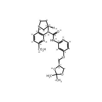 CC1(C)OC[C@H](COc2ccnc(NC(=O)N3c4nc(C(=O)O)ccc4N4CC[C@H]3C4)c2)O1